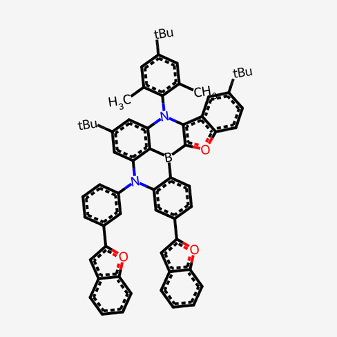 Cc1cc(C(C)(C)C)cc(C)c1N1c2cc(C(C)(C)C)cc3c2B(c2ccc(-c4cc5ccccc5o4)cc2N3c2cccc(-c3cc4ccccc4o3)c2)c2oc3ccc(C(C)(C)C)cc3c21